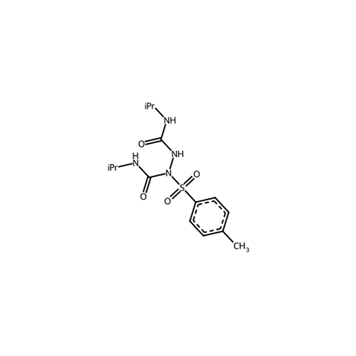 Cc1ccc(S(=O)(=O)N(NC(=O)NC(C)C)C(=O)NC(C)C)cc1